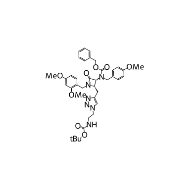 COc1ccc(CN(C(=O)OCc2ccccc2)[C@@H]2C(=O)N(Cc3ccc(OC)cc3OC)[C@@H]2Cc2cn(CCNC(=O)OC(C)(C)C)nn2)cc1